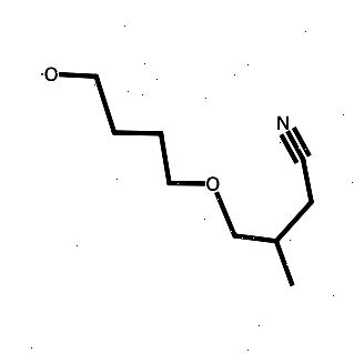 CC(CC#N)COCCCC[O]